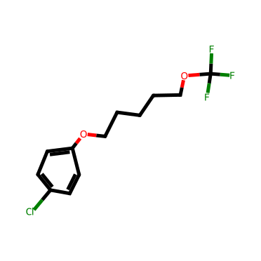 FC(F)(F)OCCCCCOc1ccc(Cl)cc1